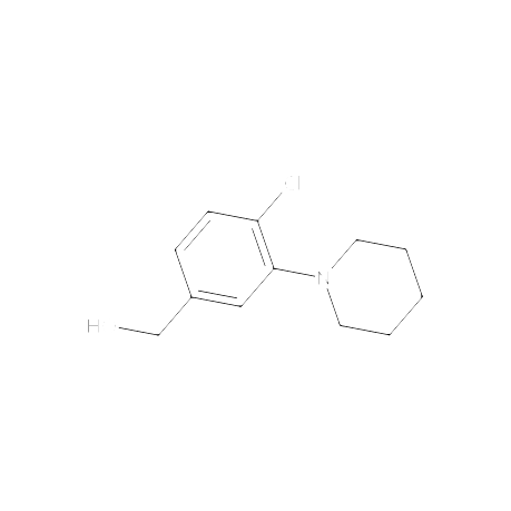 OCc1ccc(Cl)c(N2CCCCC2)c1